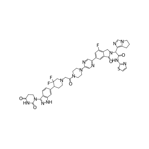 O=C1CCN(c2n[nH]c3cc(C4CCN(CC(=O)N5CCN(c6cnc(-c7cc(F)c8c(c7)C(=O)N(C(C(=O)Nc7nccs7)c7ncn9c7CCC9)C8)cn6)CC5)CC4(F)F)ccc23)C(=O)N1